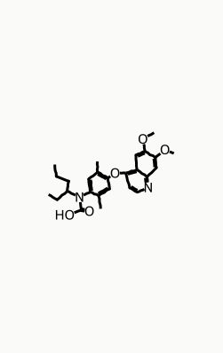 CCCC(CC)N(C(=O)O)c1cc(C)c(Oc2ccnc3cc(OC)c(OC)cc23)cc1C